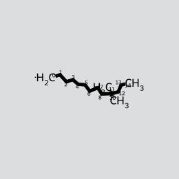 [CH2]CCCCCCCCC(C)(C)CCC